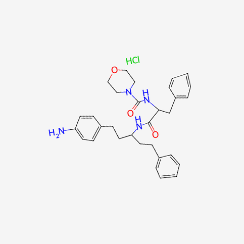 Cl.Nc1ccc(CCC(CCc2ccccc2)NC(=O)C(Cc2ccccc2)NC(=O)N2CCOCC2)cc1